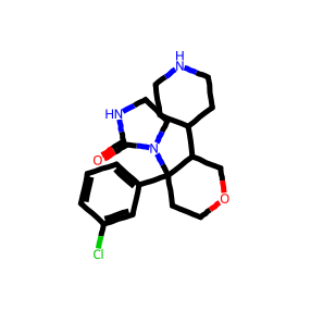 O=C1NCCN1C1(c2cccc(Cl)c2)CCOCC1C1CCNCC1